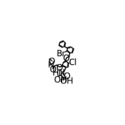 CON(C)C(=O)COc1cc(OCc2cccc(-c3ccccc3)c2Br)c(Cl)cc1CNC(CO)C(=O)O